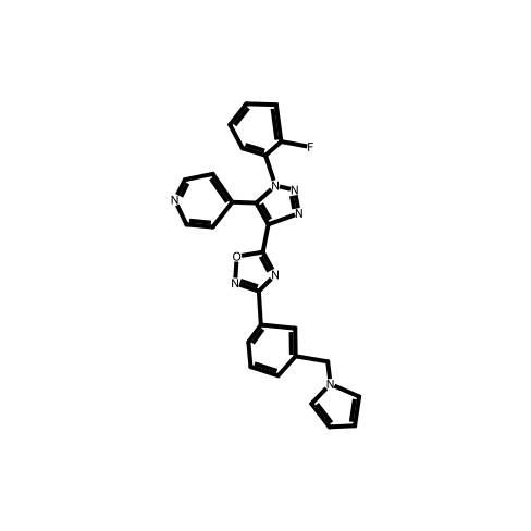 Fc1ccccc1-n1nnc(-c2nc(-c3cccc(Cn4cccc4)c3)no2)c1-c1ccncc1